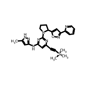 Cc1cc(Nc2cc(C#C[Si](C)(C)C)nc(N3CCCC3c3cc(-c4ccccn4)no3)n2)n[nH]1